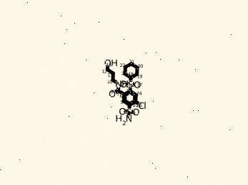 NS(=O)(=O)c1cc(C(=O)NCCCO)c(S(=O)(=O)C2CCCCC2)cc1Cl